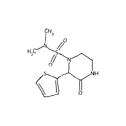 CN(C)S(=O)(=O)N1CCNC(=O)C1c1cccs1